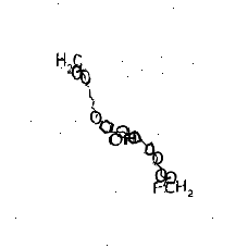 C=CC(=O)OCCCCCCOc1ccc(C(O)Oc2ccc(-c3ccc(OCCOC(=O)C(=C)F)cc3)cc2)cc1